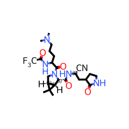 CN(C)CCCC(NC(=O)C(F)(F)F)C(=O)N1C[C@H]2[C@@H]([C@H]1C(=O)N[C@H](C#N)CC1CCNC1=O)C2(C)C